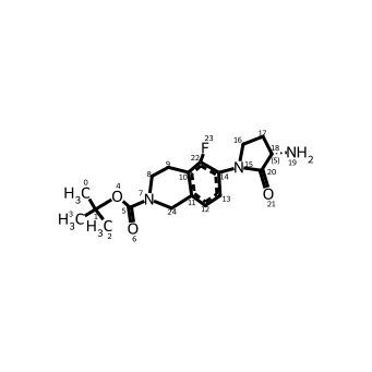 CC(C)(C)OC(=O)N1CCc2c(ccc(N3CC[C@H](N)C3=O)c2F)C1